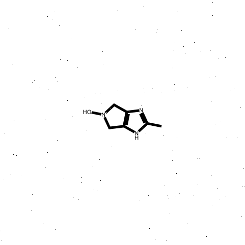 Cc1nc2c([nH]1)CN(O)C2